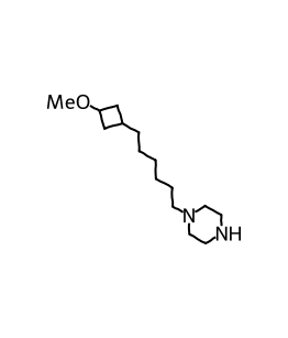 COC1CC(CCCCCCN2CCNCC2)C1